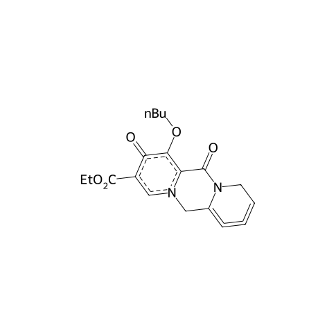 CCCCOc1c2n(cc(C(=O)OCC)c1=O)CC1=C=C=CCN1C2=O